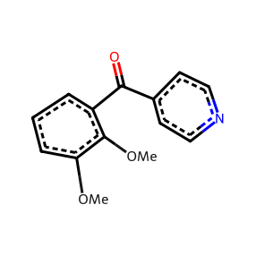 COc1cccc(C(=O)c2ccncc2)c1OC